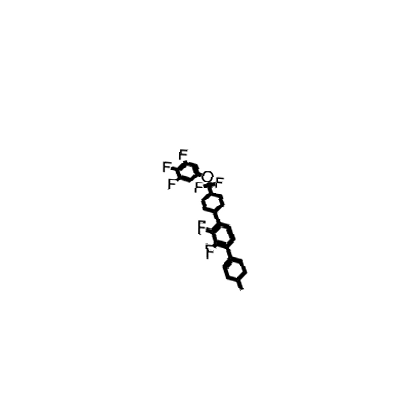 CC1CC=C(c2ccc(C3CCC(C(F)(F)Oc4cc(F)c(F)c(F)c4)CC3)c(F)c2F)CC1